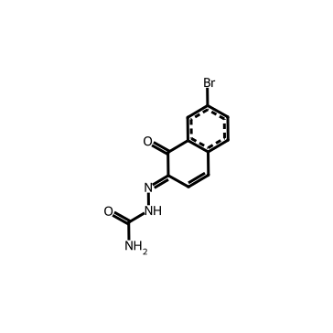 NC(=O)N/N=C1\C=Cc2ccc(Br)cc2C1=O